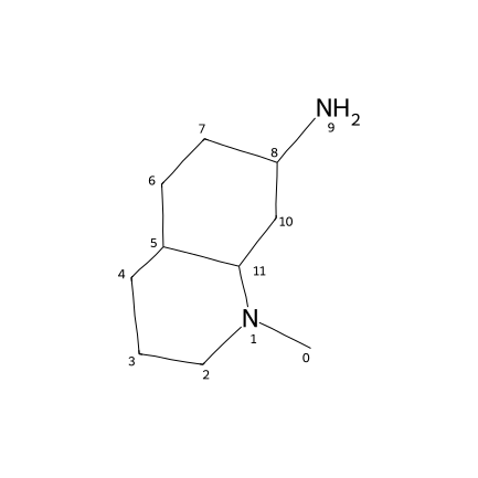 CN1CCCC2CCC(N)CC21